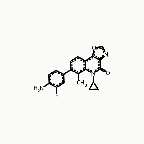 Cc1c(-c2ccc(N)c(F)c2)ccc2c3ocnc3c(=O)n(C3CC3)c12